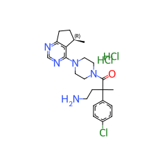 C[C@@H]1CCc2ncnc(N3CCN(C(=O)C(C)(CCN)c4ccc(Cl)cc4)CC3)c21.Cl.Cl